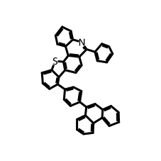 c1ccc(-c2nc3ccccc3c3c2ccc2c3sc3cccc(-c4ccc(-c5cc6ccccc6c6ccccc56)cc4)c32)cc1